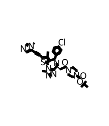 Cc1c(C#Cc2cncn2C)sc2c1C(c1ccc(Cl)cc1)=N[C@@H](CC(=O)N1CCN(C(=O)OC(C)(C)C)CC1)c1nnc(C)n1-2